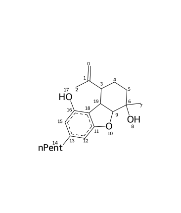 C=C(C)C1CCC(C)(O)C2Oc3cc(CCCCC)cc(O)c3C12